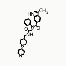 Cc1c[nH]c2cc(C(=O)N(CC(=O)NCC3CCN(c4ccncc4)CC3)c3ccccc3)ccc12